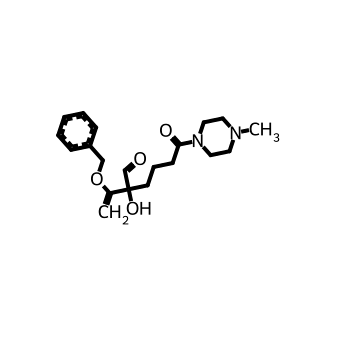 C=C(OCc1ccccc1)C(O)(C=O)CCCC(=O)N1CCN(C)CC1